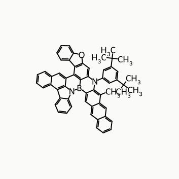 Cc1c2c(cc3cc4ccccc4cc13)B1c3c(cc4oc5ccccc5c4c3-c3cc4ccccc4c4c5ccccc5n1c34)N2c1cc(C(C)(C)C)cc(C(C)(C)C)c1